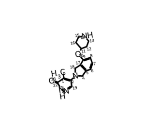 Cc1c(N2Cc3cccc(OC4CCNCC4)c3C2)cn[nH]c1=O